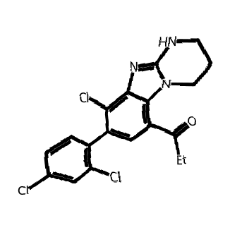 CCC(=O)c1cc(-c2ccc(Cl)cc2Cl)c(Cl)c2nc3n(c12)CCCN3